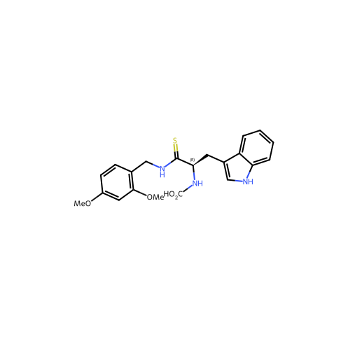 COc1ccc(CNC(=S)[C@@H](Cc2c[nH]c3ccccc23)NC(=O)O)c(OC)c1